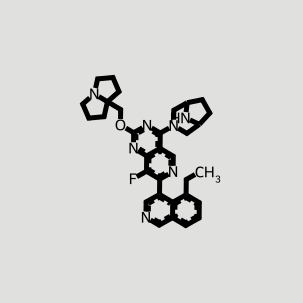 CCc1cccc2cncc(-c3ncc4c(N5CC6CCC(C5)N6)nc(OCC56CCCN5CCC6)nc4c3F)c12